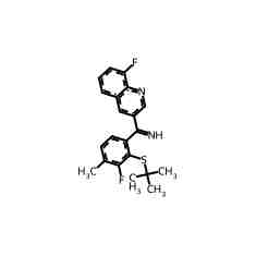 Cc1ccc(C(=N)c2cnc3c(F)cccc3c2)c(SC(C)(C)C)c1F